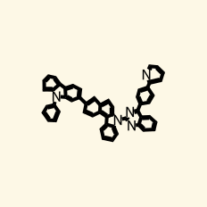 c1ccc(-n2c3ccccc3c3ccc(-c4ccc5c(ccc6c5c5ccccc5n6-c5nc(-c6ccc(-c7ccccn7)cc6)c6ccccc6n5)c4)cc32)cc1